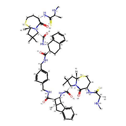 CN[C@@H](C)C(=S)N[C@H]1CCS[C@H]2CC(C)(C)[C@@H](C(=O)N[C@@H]3c4ccccc4CC[C@H]3C(=O)NCc3ccc(CNC(=O)[C@@H]4[C@@H]5Cc6ccccc6C5[C@@H]4NC(=O)[C@H]4N5C(=O)[C@H](NC(=S)[C@H](C)NC)CCS[C@H]5CC4(C)C)cc3)N2C1=O